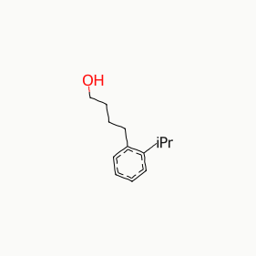 CC(C)c1ccccc1CCCCO